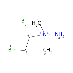 C[N+](C)(N)CCBr.[Br-]